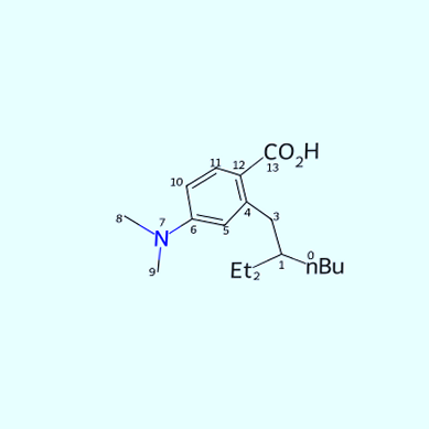 CCCCC(CC)Cc1cc(N(C)C)ccc1C(=O)O